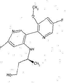 COc1cc(F)cnc1-c1cnc(Cl)cc1N[C@@H](C)CCO